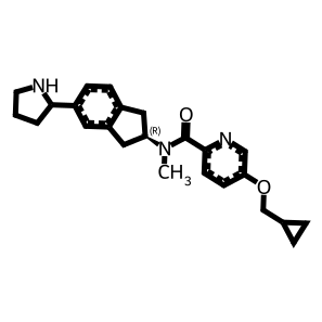 CN(C(=O)c1ccc(OCC2CC2)cn1)[C@@H]1Cc2ccc(C3CCCN3)cc2C1